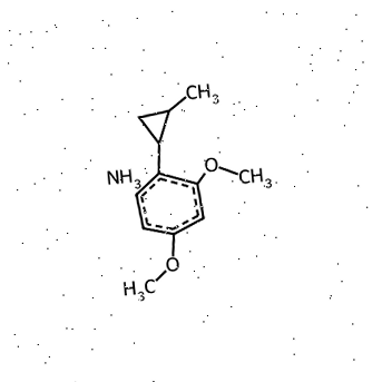 COc1ccc(C2CC2C)c(OC)c1.N